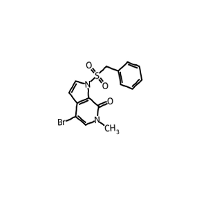 Cn1cc(Br)c2ccn(S(=O)(=O)Cc3ccccc3)c2c1=O